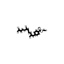 CCOC(=O)c1ccc(C=C(C)CCC=C(C)CCC=C(C)C)cc1